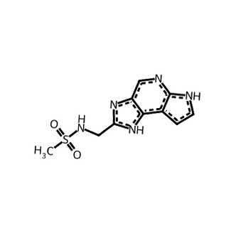 CS(=O)(=O)NCc1nc2cnc3[nH]ccc3c2[nH]1